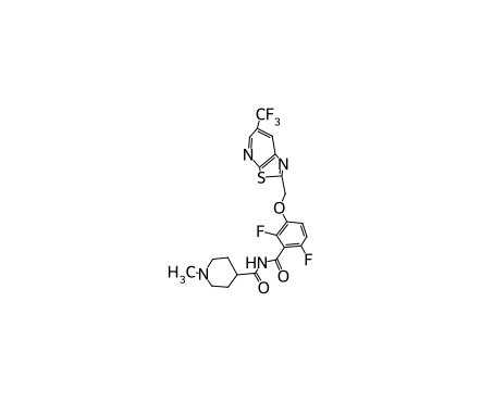 CN1CCC(C(=O)NC(=O)c2c(F)ccc(OCc3nc4cc(C(F)(F)F)cnc4s3)c2F)CC1